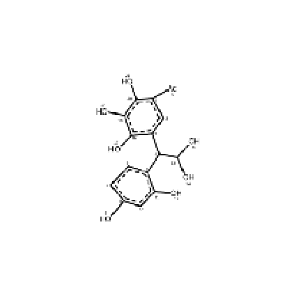 CC(=O)c1cc(C(c2ccc(O)cc2O)C(O)O)c(O)c(O)c1O